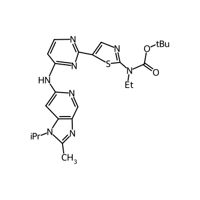 CCN(C(=O)OC(C)(C)C)c1ncc(-c2nccc(Nc3cc4c(cn3)nc(C)n4C(C)C)n2)s1